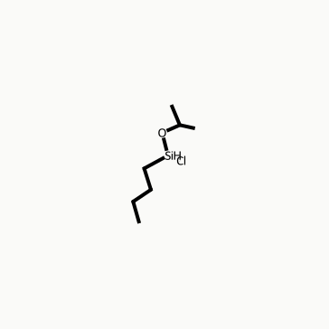 CCCC[SiH](Cl)OC(C)C